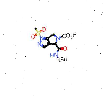 CC(C)(C)NC(=O)C1c2cnn(S(C)(=O)=O)c2CN1C(=O)O